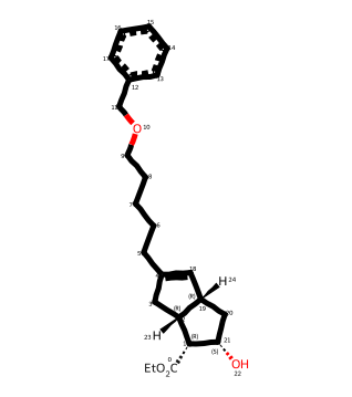 CCOC(=O)[C@@H]1[C@@H]2CC(CCCCCOCc3ccccc3)=C[C@@H]2C[C@@H]1O